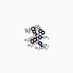 Cc1cc2c3c(c1)N(c1cccc4ccccc14)c1c(oc4cc5c(cc14)C(C)(C)CCC5(C)C)B3c1cc3c(cc1N2c1ccc(C(C)(C)C)cc1)C(C)(C)CCC3(C)C